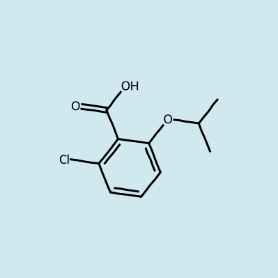 CC(C)Oc1cccc(Cl)c1C(=O)O